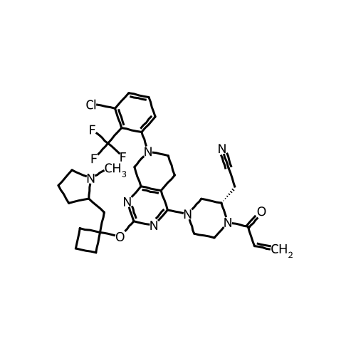 C=CC(=O)N1CCN(c2nc(OC3(CC4CCCN4C)CCC3)nc3c2CCN(c2cccc(Cl)c2C(F)(F)F)C3)C[C@@H]1CC#N